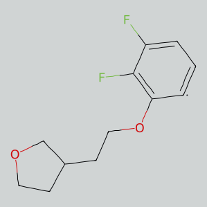 Fc1cc[c]c(OCCC2CCOC2)c1F